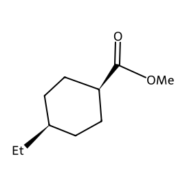 CC[C@H]1CC[C@@H](C(=O)OC)CC1